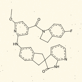 COc1cc(C(=O)N2CCc3cc(F)ccc32)cc(Nc2ccc3c(c2)CC2(C3)C(=O)Nc3ncccc32)n1